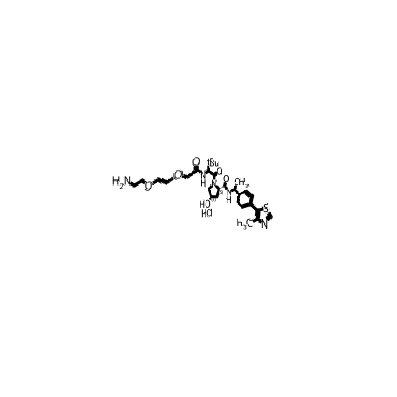 Cc1ncsc1-c1ccc(C(C)NC(=O)[C@@H]2C[C@@H](O)CN2C(=O)C(NC(=O)COCCOCCN)C(C)(C)C)cc1.Cl